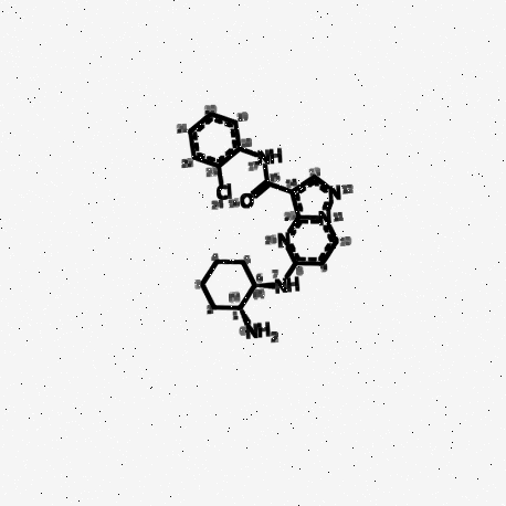 N[C@H]1CCCC[C@H]1Nc1ccn2ncc(C(=O)Nc3ccccc3Cl)c2n1